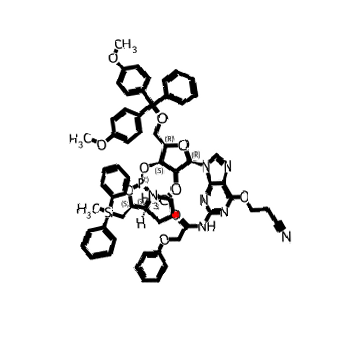 COc1ccc(C(OC[C@H]2O[C@@H](n3cnc4c(OCCC#N)nc(NC(=O)COc5ccccc5)nc43)C(OC)[C@H]2O[P@@]2O[C@H](C[Si](C)(c3ccccc3)c3ccccc3)[C@@H]3CCCN32)(c2ccccc2)c2ccc(OC)cc2)cc1